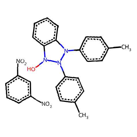 Cc1ccc(N2c3ccccc3N(O)N2c2ccc(C)cc2)cc1.O=[N+]([O-])c1cccc([N+](=O)[O-])c1